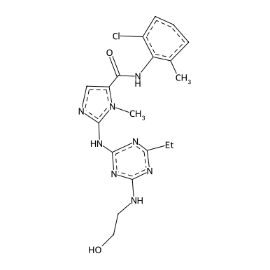 CCc1nc(NCCO)nc(Nc2ncc(C(=O)Nc3c(C)cccc3Cl)n2C)n1